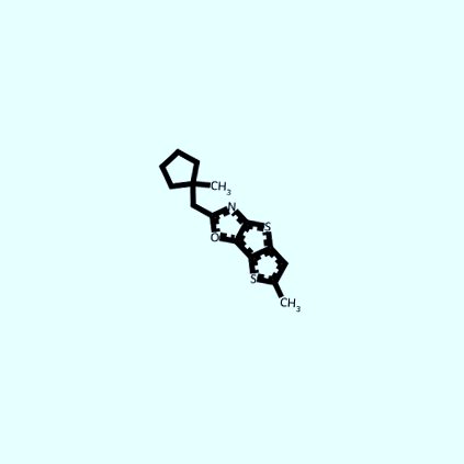 Cc1cc2sc3nc(CC4(C)CCCC4)oc3c2s1